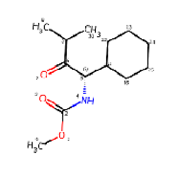 COC(=O)N[C@H](C(=O)C(C)C)C1CCCCC1